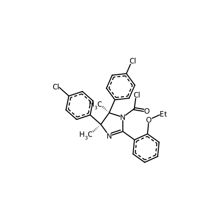 CCOc1ccccc1C1=N[C@@](C)(c2ccc(Cl)cc2)[C@@](C)(c2ccc(Cl)cc2)N1C(=O)Cl